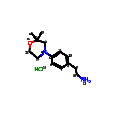 CC1(C)CN(c2ccc(CCN)cc2)CCO1.Cl